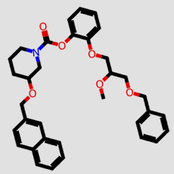 COC(COCc1ccccc1)COc1ccccc1OC(=O)N1CCCC(OCc2ccc3ccccc3c2)C1